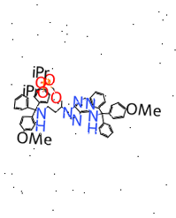 COc1ccc(C(NCCC(COCP(=O)(OC(C)C)OC(C)C)n2cnc3c(NC(c4ccccc4)(c4ccccc4)c4ccc(OC)cc4)ncnc32)(c2ccccc2)c2ccccc2)cc1